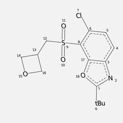 CC(C)(C)c1nc2ccc(Cl)c(S(=O)(=O)CC3COC3)c2o1